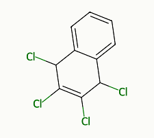 ClC1=C(Cl)C(Cl)c2ccccc2C1Cl